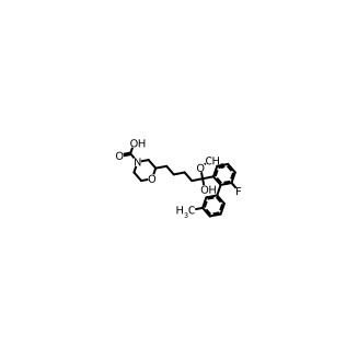 COC(O)(CCCCC1CN(C(=O)O)CCO1)c1cccc(F)c1-c1cccc(C)c1